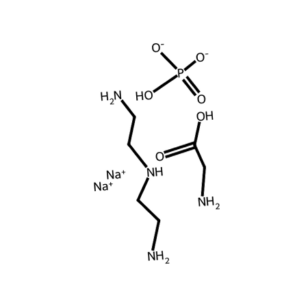 NCC(=O)O.NCCNCCN.O=P([O-])([O-])O.[Na+].[Na+]